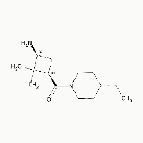 CCC1CCN(C(=O)[C@@H]2C[C@H](N)C2(C)C)CC1